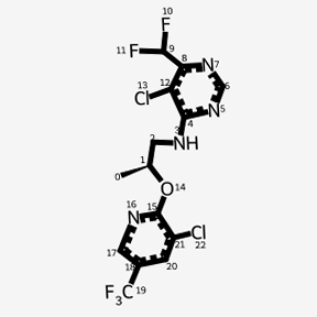 C[C@@H](CNc1ncnc(C(F)F)c1Cl)Oc1ncc(C(F)(F)F)cc1Cl